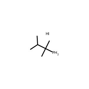 CC(C)C(C)(C)P.I